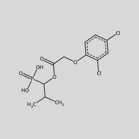 CC(C)C(OC(=O)COc1ccc(Cl)cc1Cl)P(=O)(O)O